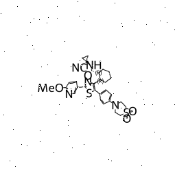 COc1ccc(-c2nc([C@@H]3CCCC[C@H]3C(=O)NC3(C#N)CC3)c(-c3ccc(N4CCS(=O)(=O)CC4)cc3)s2)cn1